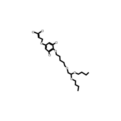 CCCCOC(COCCCCCOc1c(Cl)cc(OCC=C(Cl)Cl)cc1Cl)OCCCC